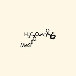 CSCCOC(C)OCCOC(=O)c1cccs1